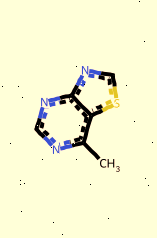 Cc1ncnc2ncsc12